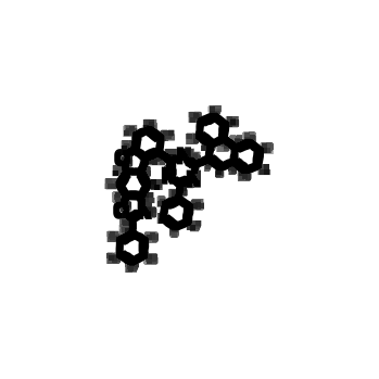 c1ccc(-c2nc(-c3cc4ccccc4c4ccccc34)nc(-c3cccc4oc5cc6oc(-c7ccccc7)nc6cc5c34)n2)cc1